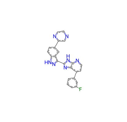 Fc1cccc(-c2ccnc3[nH]c(-c4n[nH]c5ccc(-c6cnccn6)cc45)nc23)c1